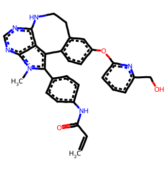 C=CC(=O)Nc1ccc(-c2c3c4c(ncnc4n2C)NCCc2cc(Oc4cccc(CO)n4)ccc2-3)cc1